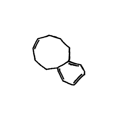 C1=CCCc2ccccc2CCC1